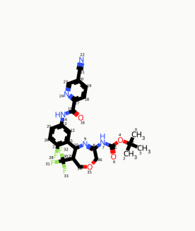 CC(C)(C)OC(=O)NC1=NC(c2cc(NC(=O)c3ccc(C#N)cn3)ccc2F)C(C(F)(F)F)COC1